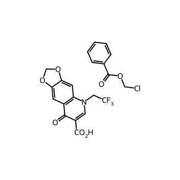 O=C(O)c1cn(CC(F)(F)F)c2cc3c(cc2c1=O)OCO3.O=C(OCCl)c1ccccc1